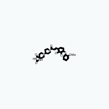 COc1ccccc1Sc1ccc(C=CC(=O)N2CCC(N3CCC4(CC3)NC(=O)NC4=O)CC2)c(Cl)c1Cl